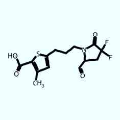 Cc1cc(CCCN2C(=O)C(F)(F)CC2C=O)sc1C(=O)O